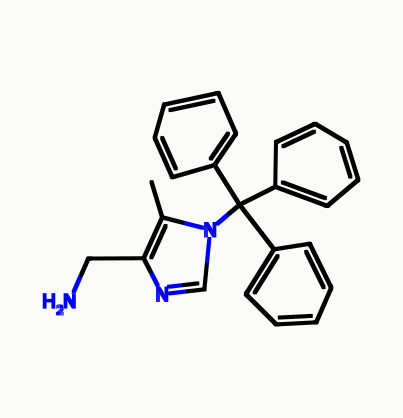 Cc1c(CN)ncn1C(c1ccccc1)(c1ccccc1)c1ccccc1